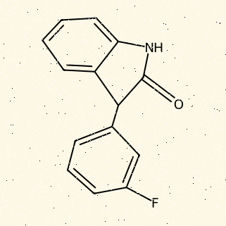 O=C1Nc2ccccc2C1c1cccc(F)c1